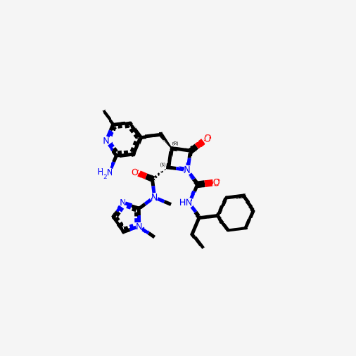 CCC(NC(=O)N1C(=O)[C@H](Cc2cc(C)nc(N)c2)[C@H]1C(=O)N(C)c1nccn1C)C1CCCCC1